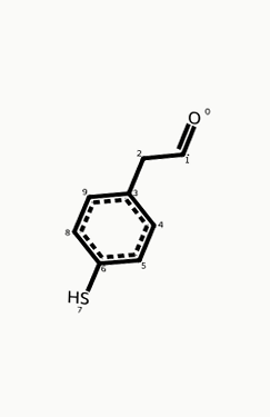 O=[C]Cc1ccc(S)cc1